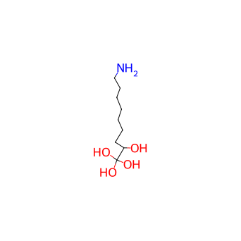 NCCCCCCCC(O)C(O)(O)O